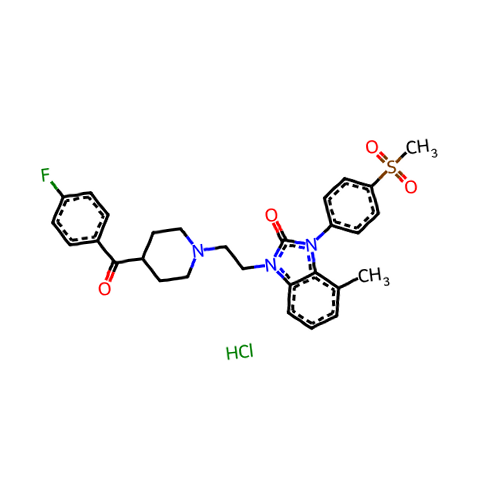 Cc1cccc2c1n(-c1ccc(S(C)(=O)=O)cc1)c(=O)n2CCN1CCC(C(=O)c2ccc(F)cc2)CC1.Cl